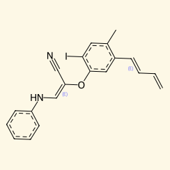 C=C/C=C/c1cc(O/C(C#N)=C/Nc2ccccc2)c(I)cc1C